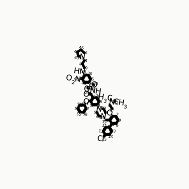 CN(C)CCOc1cccc(-c2ccc(Cl)cc2)c1CN1CCN(c2ccc(C(=O)NS(=O)(=O)c3ccc(NCCCN4CCCC4)c([N+](=O)[O-])c3)c(Oc3ccccc3)c2)CC1